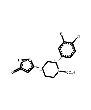 O=C(O)N1CC[C@H](c2cc(=O)[nH]o2)C[C@@H]1c1ccc(Cl)c(F)c1